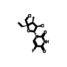 CC[C@@]1(CCl)O[C@@H](n2cc(F)c(=O)[nH]c2=O)[C@H](Cl)[C@@H]1C